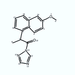 COc1ccc2c(C(C)C(=O)n3cncn3)cccc2c1